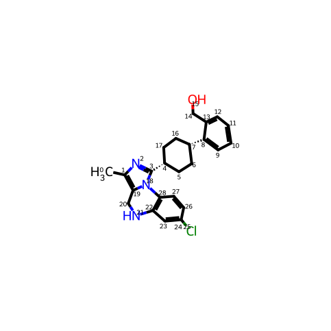 Cc1nc([C@H]2CC[C@@H](c3ccccc3CO)CC2)n2c1CNc1cc(Cl)ccc1-2